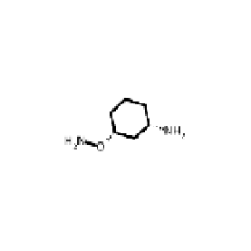 NO[C@@H]1CCC[C@H](N)C1